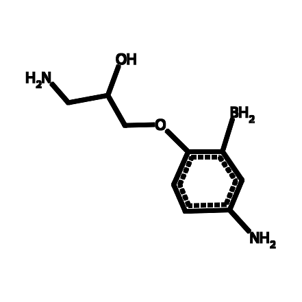 Bc1cc(N)ccc1OCC(O)CN